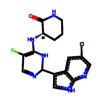 O=C1NCCC[C@@H]1NC1=C(F)C=NC(c2c[nH]c3ncc(Cl)cc23)N1